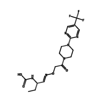 CCC(C=NOCC(=O)N1CCN(c2ncc(C(F)(F)F)cn2)CC1)NC(=O)O